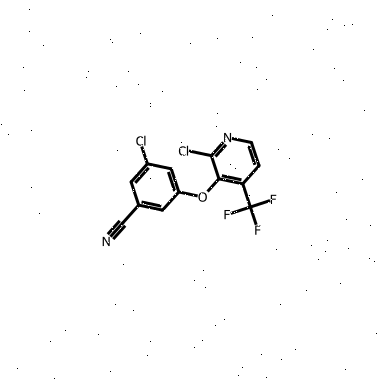 N#Cc1cc(Cl)cc(Oc2c(C(F)(F)F)ccnc2Cl)c1